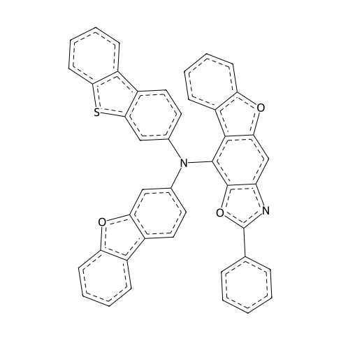 c1ccc(-c2nc3cc4oc5ccccc5c4c(N(c4ccc5c(c4)oc4ccccc45)c4ccc5c(c4)sc4ccccc45)c3o2)cc1